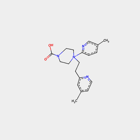 Cc1ccc([N+]2(CCc3cc(C)ccn3)CCN(C(=O)O)CC2)nc1